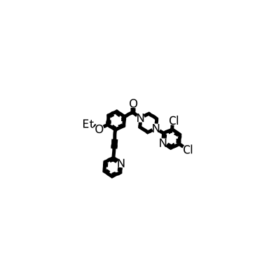 CCOc1ccc(C(=O)N2CCN(c3ncc(Cl)cc3Cl)CC2)cc1C#Cc1ccccn1